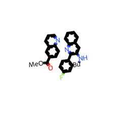 CC(C)(C)Nc1cc2ccccc2nc1-c1ccc(F)cc1.COC(=O)c1ccc2ncccc2c1